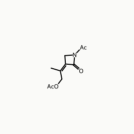 CC(=O)OCC(C)=C1CN(C(C)=O)C1=O